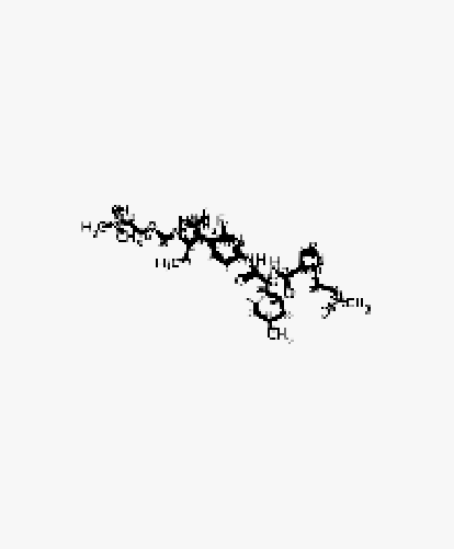 CCc1c(-c2ccc(NC(=O)[C@@H](NC(=O)c3ccnn3CC[S+](C)[O-])[C@H]3CC[C@H](C)CC3)nc2F)c(C)nn1COCC[Si](C)(C)C